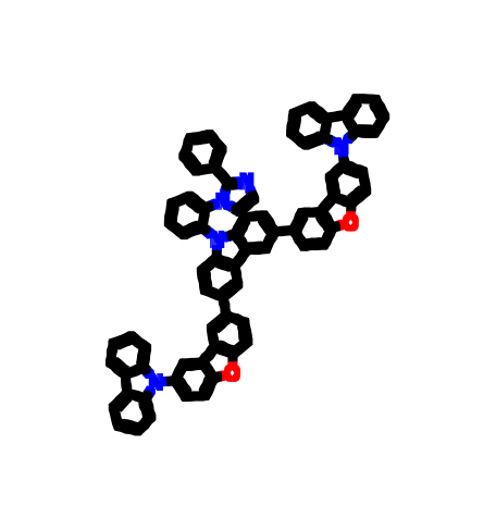 c1ccc(-c2nccn2-c2ccccc2-n2c3ccc(-c4ccc5oc6ccc(-n7c8ccccc8c8ccccc87)cc6c5c4)cc3c3cc(-c4ccc5oc6ccc(-n7c8ccccc8c8ccccc87)cc6c5c4)ccc32)cc1